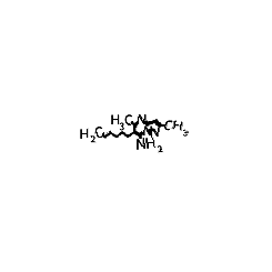 C=CCCCCc1c(C)nc2cc(C)nn2c1N